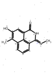 C/N=C1\NC(=O)c2cc(O)c(C)c3cccc1c23